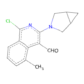 Cc1cccc2c(Cl)nc(N3CC4CC4C3)c(C=O)c12